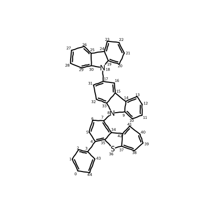 c1ccc(-c2ccc(-n3c4ccccc4c4cc(-n5c6ccccc6c6ccccc65)ccc43)c3c2sc2ccccc23)cc1